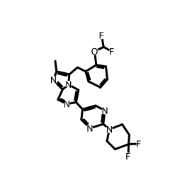 Cc1nc2cnc(-c3cnc(N4CCC(F)(F)CC4)nc3)cn2c1Cc1ccccc1OC(F)F